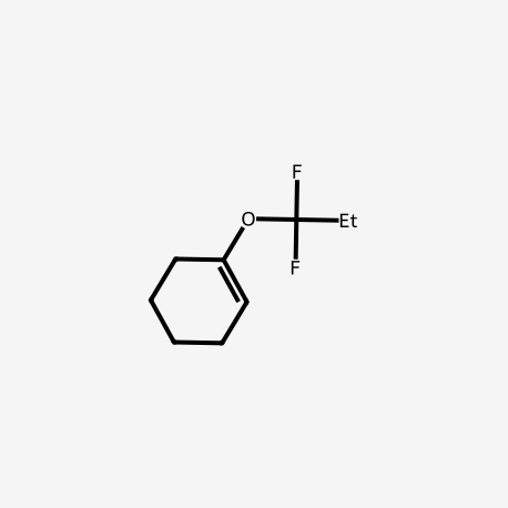 CCC(F)(F)OC1=CCCCC1